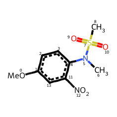 COc1ccc(N(C)S(C)(=O)=O)c([N+](=O)[O-])c1